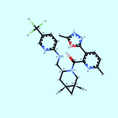 Cc1ccc(-c2nnc(C)o2)c(C(=O)N2C[C@@H]3C[C@@H]3C[C@H]2CNc2ccc(C(F)(F)F)cn2)n1